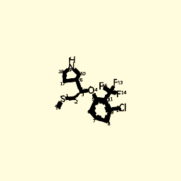 CSC[C@H](Oc1cccc(Cl)c1C(F)(F)F)C1CCNC1